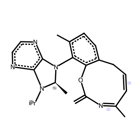 C=C1/N=C(C)\C=C/Cc2ccc(C)c(N3c4nccnc4N(C(C)C)[C@@H]3C)c2O1